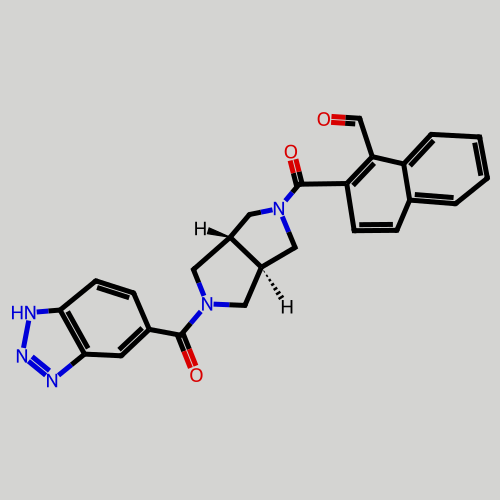 O=Cc1c(C(=O)N2C[C@H]3CN(C(=O)c4ccc5[nH]nnc5c4)C[C@@H]3C2)ccc2ccccc12